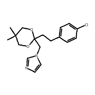 CC1(C)COC(CCc2ccc(Cl)cc2)(Cn2ccnc2)OC1